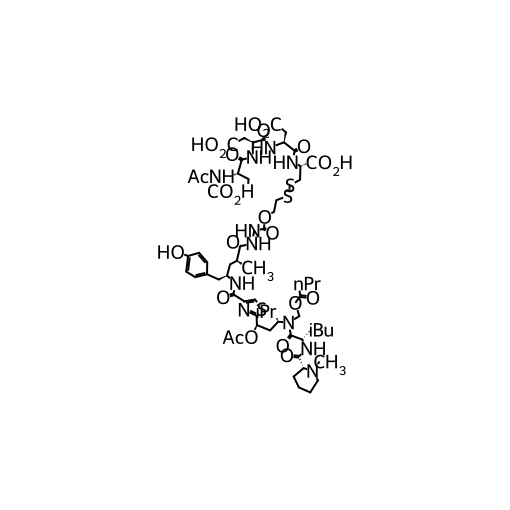 CCCC(=O)OCN(C(=O)[C@@H](NC(=O)[C@H]1CCCCN1C)C(C)CC)[C@H](C[C@@H](OC(C)=O)c1nc(C(=O)N[C@@H](Cc2ccc(O)cc2)C[C@H](C)C(=O)NNC(=O)OCCSSC[C@H](NC(=O)[C@H](CC(=O)O)NC(=O)[C@H](CC(=O)O)NC(=O)[C@H](CC(=O)O)NC(C)=O)C(=O)O)cs1)C(C)C